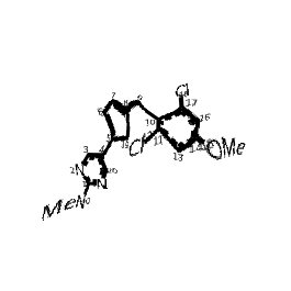 CNc1ncc(C2=CC=C(Cc3c(Cl)cc(OC)cc3Cl)C2)cn1